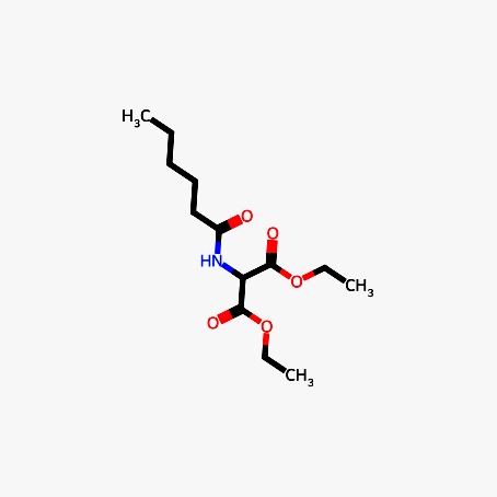 CCCCCC(=O)NC(C(=O)OCC)C(=O)OCC